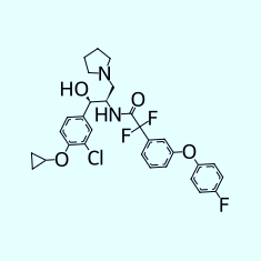 O=C(N[C@H](CN1CCCC1)[C@H](O)c1ccc(OC2CC2)c(Cl)c1)C(F)(F)c1cccc(Oc2ccc(F)cc2)c1